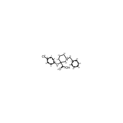 O=C(O)C1(Oc2ccc(Cl)cc2)CCCN(Cc2ccccc2)C1